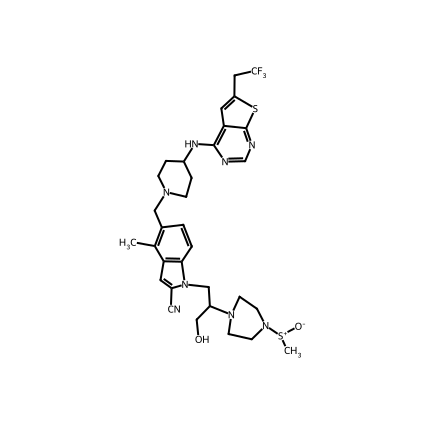 Cc1c(CN2CCC(Nc3ncnc4sc(CC(F)(F)F)cc34)CC2)ccc2c1cc(C#N)n2CC(CO)N1CCN([S+](C)[O-])CC1